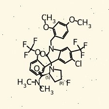 COc1ccc(CN2C(=O)C(c3ccccc3OC(F)(F)F)(N3C[C@H](F)C[C@H]3C(=O)N(C)C)c3cc(Cl)c(C(F)(F)F)cc32)c(OC)c1